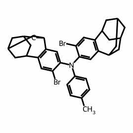 Cc1ccc(N(c2cc3c(cc2Br)C2CC4CC(C2)CC3C4)c2cc3c(cc2Br)C2CC4CC(C2)CC3C4)cc1